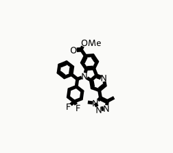 COC(=O)c1ccc2c3ncc(-c4c(C)nnn4C)cc3n(C(c3ccccc3)C3CCC(F)(F)CC3)c2c1